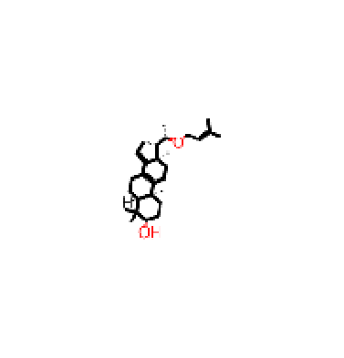 CC(C)=CCO[C@@H](C)[C@H]1CC=C2C3=C(CC[C@@]21C)[C@@]1(C)CC[C@H](O)C(C)(C)[C@H]1CC3